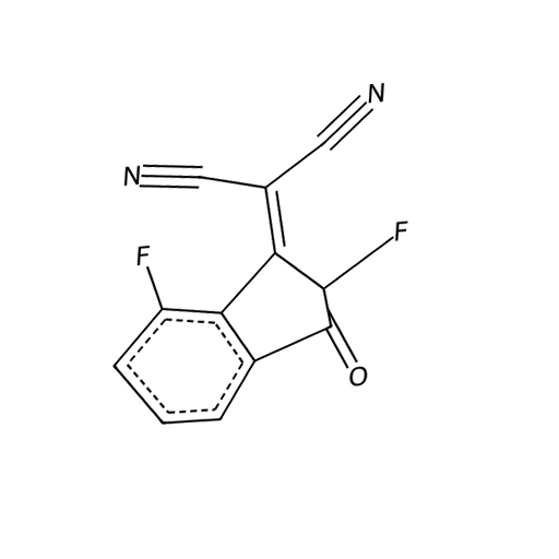 N#CC(C#N)=C1c2c(F)cccc2C(=O)C1F